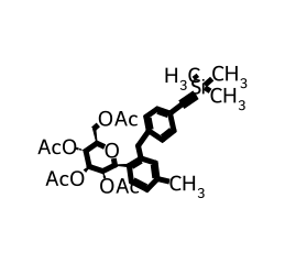 CC(=O)OC[C@H]1O[C@@H](c2ccc(C)cc2Cc2ccc(C#C[Si](C)(C)C)cc2)[C@H](OC(C)=O)[C@@H](OC(C)=O)[C@@H]1OC(C)=O